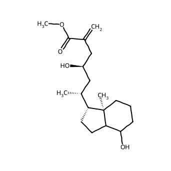 C=C(C[C@H](O)C[C@@H](C)[C@H]1CCC2C(O)CCC[C@@]21C)C(=O)OC